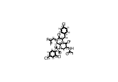 CC(=O)NC1CN(S(=O)(=O)c2ccc(Cl)cc2Cl)C2CN(CC(F)F)C(=O)C(Cc3ccc(Cl)cc3)N2C1=O